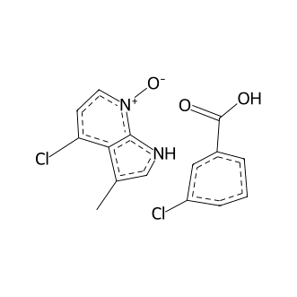 Cc1c[nH]c2c1c(Cl)cc[n+]2[O-].O=C(O)c1cccc(Cl)c1